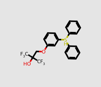 OC(COc1cccc([SH](c2ccccc2)c2ccccc2)c1)(C(F)(F)F)C(F)(F)F